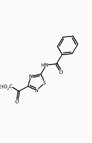 CCOC(=O)C(=O)c1nsc(NC(=O)c2ccccc2)n1